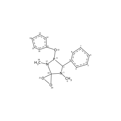 CN1C(c2ccccc2)P(Oc2ccccc2)N(C)C12OO2